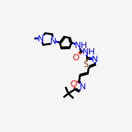 CN1CCN(c2ccc(NC(=O)Nc3ncc(C=Cc4ncc(C(C)(C)C)o4)s3)cc2)CC1